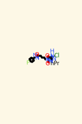 CCCn1c(=O)n(CCCCc2nc(-c3ccc(F)cc3)no2)c(=O)c2[nH]c(Cl)nc21